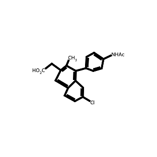 CC(=O)Nc1ccc(-c2c(C)c(CC(=O)O)cc3ccc(Cl)cc23)cc1